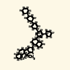 CC1(C)c2ccc(-c3ccc(-c4nc(-c5ccccc5)cc(-c5ccc(-c6ccc(-c7ccccc7)cc6)cc5)n4)c4ccccc34)cc2-c2ccc3ccccc3c21